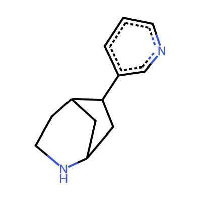 c1cncc(C2CC3CC2CCN3)c1